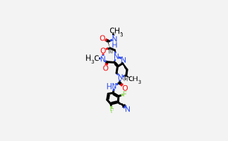 CNC(=O)[C@@H]1Cn2nc3c(c2C(=O)N(C)O1)CN(C(=O)Nc1ccc(F)c(C#N)c1F)[C@H](C)C3